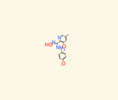 COc1ccc(COc2cc(C)cnc2/C(N)=N/O)cc1